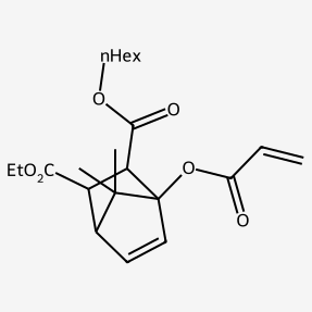 C=CC(=O)OC12C=CC(C(C(=O)OCC)C1C(=O)OCCCCCC)C2(C)C